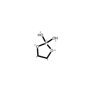 O[P]1(O)OCCO1